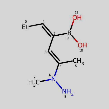 CC/C=C(\C=C(/C)N(C)N)B(O)O